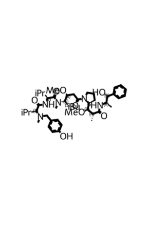 CC[C@H](C)[C@@H]([C@H](CC(=O)N1CCC[C@H]1[C@H](OC)[C@@H](C)C(=O)N[C@H](C)[C@H](O)c1ccccc1)OC)N(C)C(=O)[C@@H](NC(=O)[C@H](C(C)C)N(C)Cc1ccc(O)cc1)C(C)C